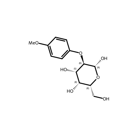 COc1ccc(O[C@@H]2[C@@H](O)[C@@H](O)[C@@H](CO)O[C@H]2O)cc1